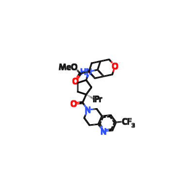 COC(=O)C1CC2COCC(C1)C2N[C@@H]1CC[C@@](C(=O)N2CCc3ncc(C(F)(F)F)cc3C2)(C(C)C)C1